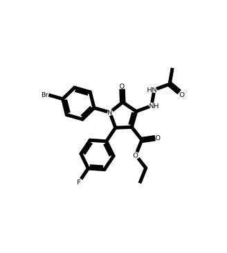 CCOC(=O)C1=C(NNC(C)=O)C(=O)N(c2ccc(Br)cc2)C1c1ccc(F)cc1